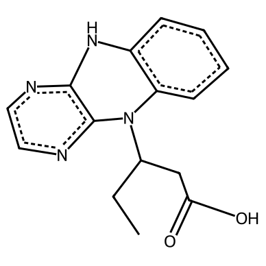 CCC(CC(=O)O)N1c2ccccc2Nc2nccnc21